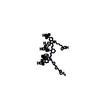 COCCOCCOCCN1/C(=C/C=C2\CCCC(/C=C/C3=[N+](CCCCCC(=O)O)c4ccc(S(=O)(=O)O)cc4C3(C)CCCS(=O)(=O)O)=C2Cl)C(C)(CCCS(=O)(=O)O)c2cc(S(=O)(=O)O)ccc21